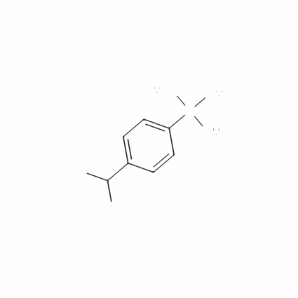 CO[Si](OC)(OC)c1ccc(C(C)Br)cc1